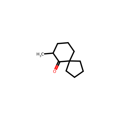 CC1CCCC2(CCCC2)C1=O